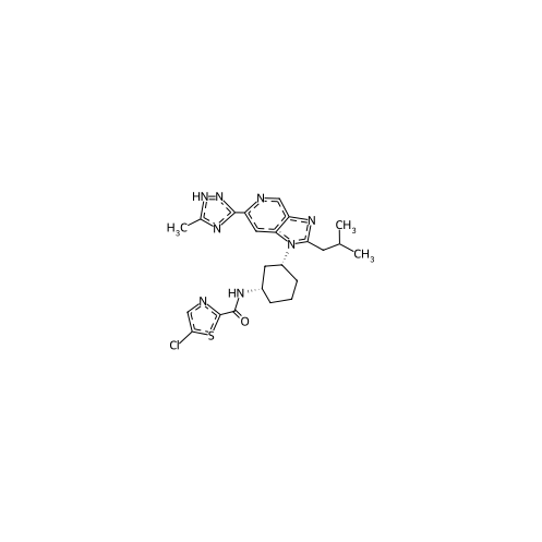 Cc1nc(-c2cc3c(cn2)nc(CC(C)C)n3[C@@H]2CCC[C@H](NC(=O)c3ncc(Cl)s3)C2)n[nH]1